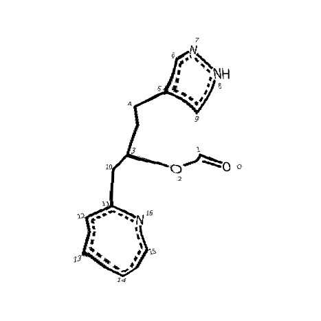 O=COC(Cc1cn[nH]c1)Cc1ccccn1